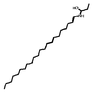 CCCCCCCCCCCCCCCCCCCCC=CNC(O)CC